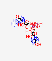 Nc1nc2c(ncn2[C@@H]2O[C@H](COP(=O)(OC[C@H]3O[C@@H](n4cnc5c(O)ncnc54)C(O)C3O)OP(=O)(O)O)C(O)C2O)c(=O)[nH]1